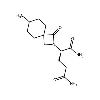 CC1CCC2(CC1)CN([C@H](CCC(N)=O)C(N)=O)C2=O